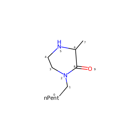 CCCCCCN1CCNC(C)C1=O